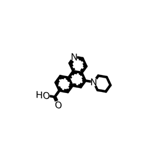 O=C(O)c1ccc2c(c1)cc(N1CCCCC1)c1ccncc12